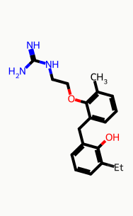 CCc1cccc(Cc2cccc(C)c2OCCNC(=N)N)c1O